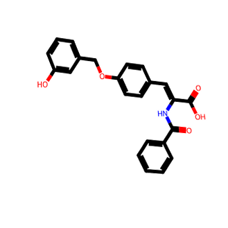 O=C(O)C(=Cc1ccc(OCc2cccc(O)c2)cc1)NC(=O)c1ccccc1